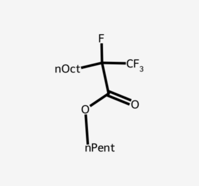 CCCCCCCCC(F)(C(=O)OCCCCC)C(F)(F)F